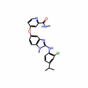 CNC(=O)c1cc(Oc2ccc3c(c2)nc(Nc2ccc(C(C)C)cc2Br)n3C)ccn1